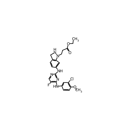 CCOC(=O)CCN1NCc2ccc(Nc3ncc(F)c(Nc4ccc(OC)c(Cl)c4)n3)cc21